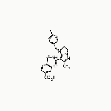 Cc1ccc(CN2CCn3nc(C(F)(F)F)c(C(=O)N[C@@H](C)c4ccc(C(=O)O)cc4)c32)cc1